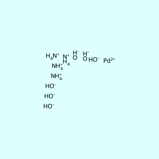 [NH4+].[NH4+].[NH4+].[NH4+].[OH-].[OH-].[OH-].[OH-].[OH-].[OH-].[Pd+2]